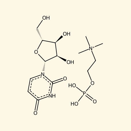 C[N+](C)(C)CCOP(=O)(O)O.O=c1ccn([C@@H]2O[C@H](CO)[C@@H](O)[C@H]2O)c(=O)[nH]1